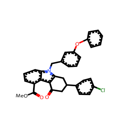 COC(=O)c1cccc2c1c1c(n2Cc2cccc(Oc3ccccc3)c2)CC(c2ccc(Cl)cc2)CC1=O